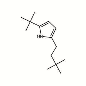 CC(C)(C)CCc1ccc(C(C)(C)C)[nH]1